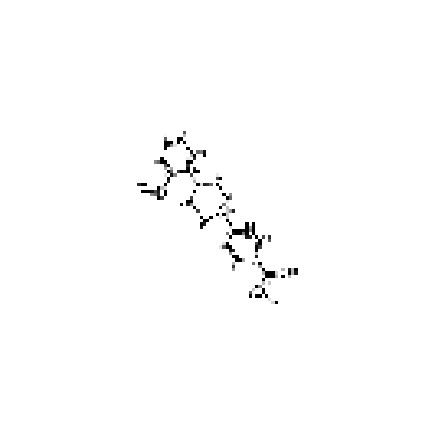 COC(=O)c1ccc(N2CCN(c3ccccc3OC)CC2)nc1